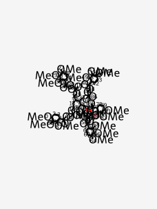 COc1ccc(C(=O)OOC(=O)OCCC(COC(=O)OOC(=O)c2ccc(OC)c(OC)c2OC)C(COC(=O)OOC(=O)c2ccc(OC)c(OC)c2OC)C(CCOC(=O)OOC(=O)c2ccc(OC)c(OC)c2OC)COC(=O)OOC(=O)c2ccc(OC)c(OC)c2OC)c(OC)c1OC